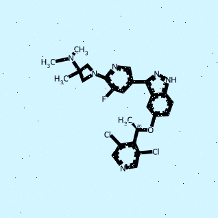 C[C@@H](Oc1ccc2[nH]nc(-c3cnc(N4CC(C)(N(C)C)C4)c(F)c3)c2c1)c1c(Cl)cncc1Cl